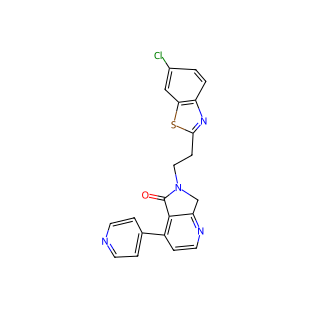 O=C1c2c(-c3ccncc3)ccnc2CN1CCc1nc2ccc(Cl)cc2s1